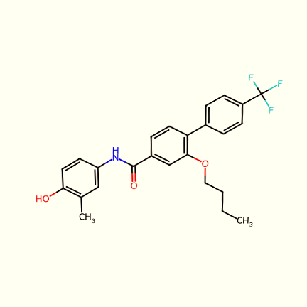 CCCCOc1cc(C(=O)Nc2ccc(O)c(C)c2)ccc1-c1ccc(C(F)(F)F)cc1